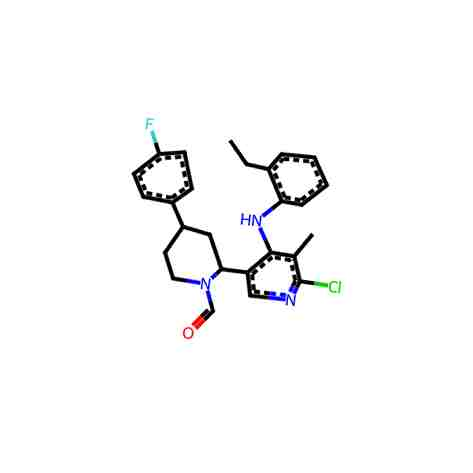 CCc1ccccc1Nc1c(C2CC(c3ccc(F)cc3)CCN2C=O)cnc(Cl)c1C